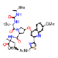 C=CC[C@@](C)(NC(=O)[C@@H]1CC(Oc2cc(-c3csc(NC(C)=O)n3)nc3cc(OC)ccc23)CN1C(=O)[C@@H](NC(=O)N[C@H](C)C(C)(C)C)C(C)(C)C)C(=O)OC